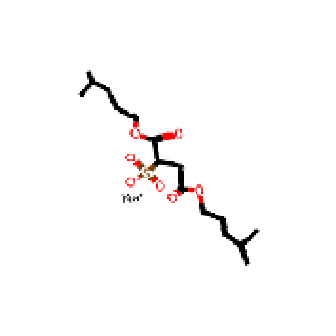 CC(C)CCCOC(=O)CC(C(=O)OCCCC(C)C)S(=O)(=O)[O-].[Na+]